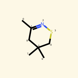 CC1=NSCC(C)(C)C1